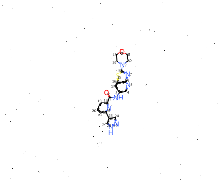 O=C(Nc1cnc2nc(N3CCOCC3)sc2c1)c1cccc(-c2cn[nH]c2)n1